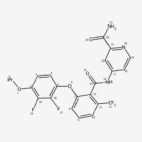 CC(C)Oc1ccc(Oc2cccc(C(F)(F)F)c2C(=O)Nc2ccnc(C(N)=O)c2)c(F)c1F